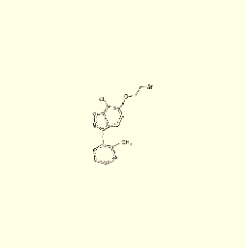 Cc1ccccc1-c1noc2c(Cl)c(OCCBr)ccc12